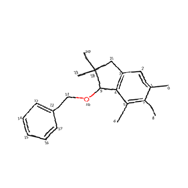 Cc1cc2c(c(C)c1C)C(OCc1ccccc1)C(C)(C)C2